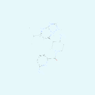 Nc1cccc(C(=O)N2CCC(N)[C@H](c3cc(C(F)F)nc4ncnn34)C2)n1